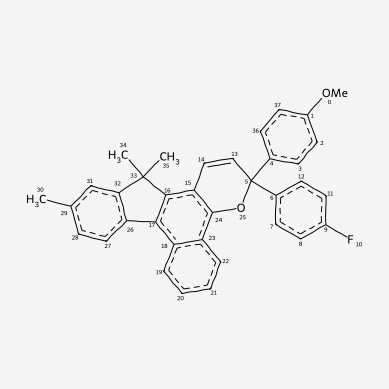 COc1ccc(C2(c3ccc(F)cc3)C=Cc3c4c(c5ccccc5c3O2)-c2ccc(C)cc2C4(C)C)cc1